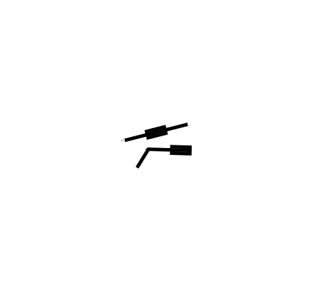 C#C[CH]C.[CH2]C#CC